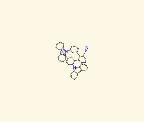 N#Cc1ccc(-n2c3ccccc3c3ccccc32)c(-c2cccc(C#N)c2-c2cccc(-n3c4ccccc4c4ccccc43)c2)c1